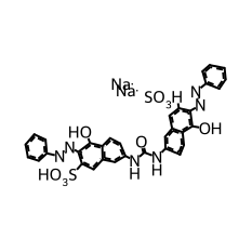 O=C(Nc1ccc2c(O)c(N=Nc3ccccc3)c(S(=O)(=O)O)cc2c1)Nc1ccc2c(O)c(N=Nc3ccccc3)c(S(=O)(=O)O)cc2c1.[Na].[Na]